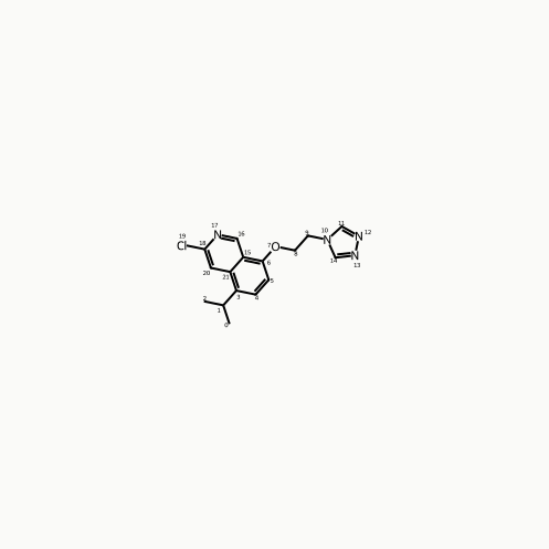 CC(C)c1ccc(OCCn2cnnc2)c2cnc(Cl)cc12